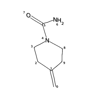 C=C1CCN(C(N)=O)CC1